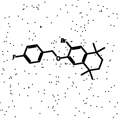 CC1(C)CCC(C)(C)c2cc(OCc3ccc(F)cc3)c(Br)cc21